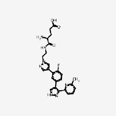 Cc1cccc(-c2n[nH]cc2-c2ccc(F)c(-c3cnn(CCNC(=O)C(N)CCC(=O)O)c3)c2)n1